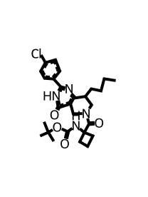 CCCCC1CN(C(=O)C2(NC(=O)OC(C)(C)C)CCC2)Cc2c1nc(-c1ccc(Cl)cc1)[nH]c2=O